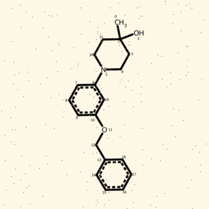 CC1(O)CCN(c2cccc(OCc3ccccc3)c2)CC1